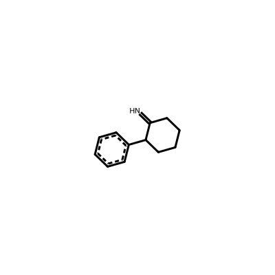 N=C1CCCCC1c1ccccc1